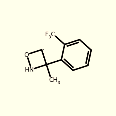 CC1(c2ccccc2C(F)(F)F)[CH]ON1